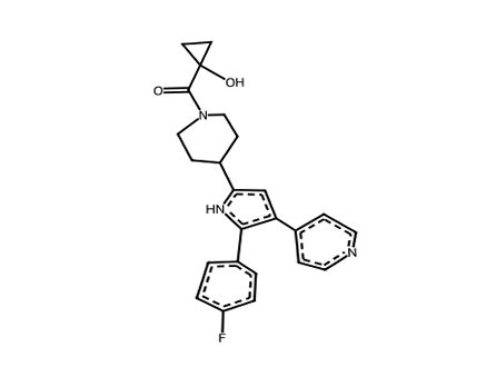 O=C(N1CCC(c2cc(-c3ccncc3)c(-c3ccc(F)cc3)[nH]2)CC1)C1(O)CC1